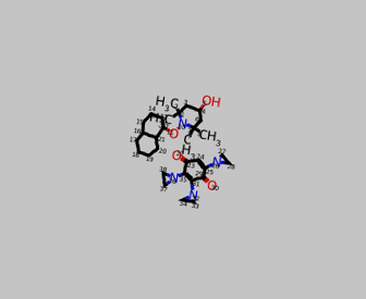 CC1(C)CC(O)CC(C)(C)N1OC1CCCC2CCCCC21.O=C1C=C(N2CC2)C(=O)C(N2CC2)=C1N1CC1